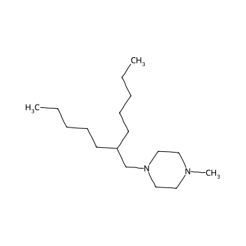 CCCCCC(CCCCC)CN1CCN(C)CC1